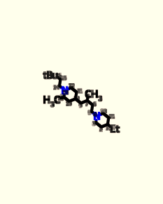 CCC1CCN(CCC(C)CC2CCN(CCC(C)(C)C)C(C)C2)CC1